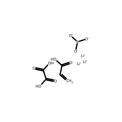 C=CC(=O)O.O=C(O)C(=O)O.[Li+].[Li+].[Li+].[O-]B([O-])[O-]